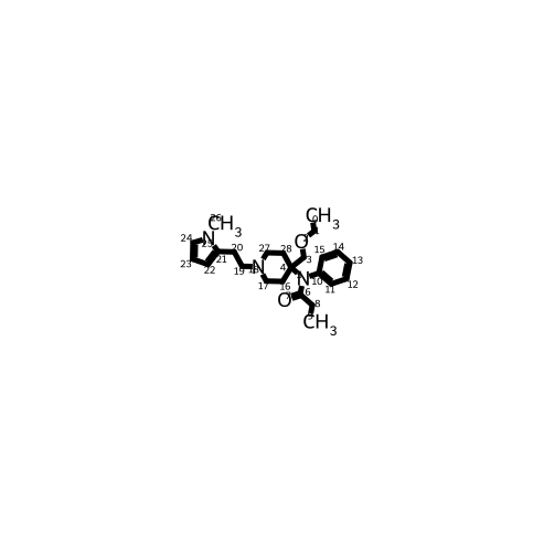 CCOCC1(N(C(=O)CC)c2ccccc2)CCN(CCc2cccn2C)CC1